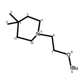 CC1(C)CCN(CCOC(C)(C)C)CC1